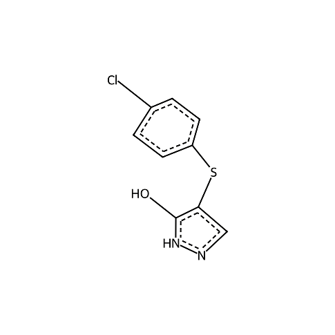 Oc1[nH]ncc1Sc1ccc(Cl)cc1